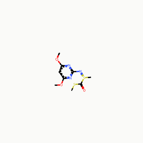 COc1cc(OC)nc(N=S(C)C(=O)SC)n1